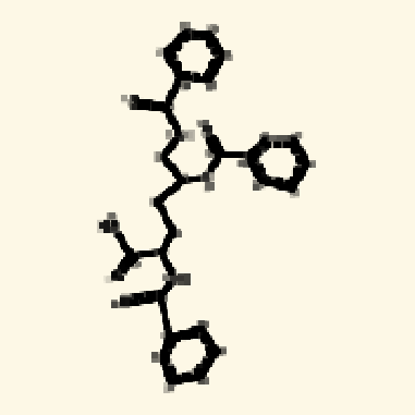 O=C(NCC(CCC(NC(=O)c1ccccc1)C(=O)O)OC(=O)c1ccccc1)c1ccccc1